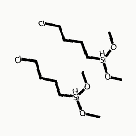 CO[SiH](CCCCCl)OC.CO[SiH](CCCCCl)OC